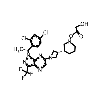 C[C@H](c1ccc(Cl)cc1Cl)n1nc(C(F)(F)F)c2ncc(N3CC([C@H]4CCCN(OC(=O)CO)C4)C3)nc21